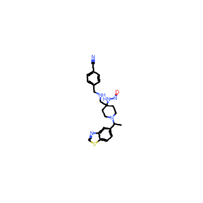 CC(c1ccc2scnc2c1)N1CCC(CNCc2ccc(C#N)cc2)(NN=O)CC1